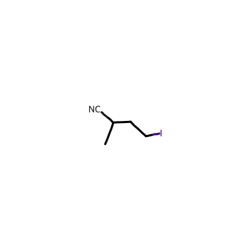 CC(C#N)CCI